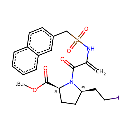 C=C(NS(=O)(=O)Cc1ccc2ccccc2c1)C(=O)N1[C@@H](CCI)CC[C@H]1C(=O)OC(C)(C)C